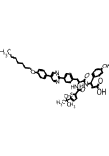 CCCCCCCOc1ccc(-c2cnc(-c3ccc(CC(NC(=O)c4ccc(C(C)(C)C)s4)C(=O)NC(CC(=O)O)c4ccc(O)cc4)cc3)nc2)cc1